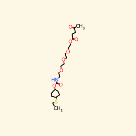 CCSC1CCC(OC(=O)NCCOCCOCCOCCOC(=O)CCC(C)=O)CC1